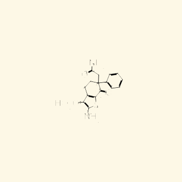 NC(=O)CC1(c2ccccc2)CCc2c(sc(N)c2C(=O)O)C1=O